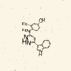 CCc1cc(O)ccc1Nc1cc(-c2c[nH]c3ccccc23)[nH]n1